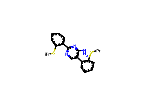 CC(C)Sc1ccccc1-c1ncc(-c2ccccc2SC(C)C)c(N)n1